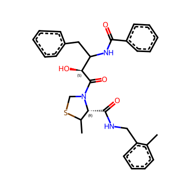 Cc1ccccc1CNC(=O)[C@@H]1C(C)SCN1C(=O)[C@@H](O)C(Cc1ccccc1)NC(=O)c1ccccc1